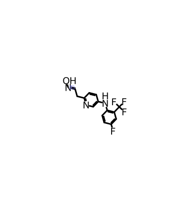 O/N=C/Cc1ccc(Nc2ccc(F)cc2C(F)(F)F)cn1